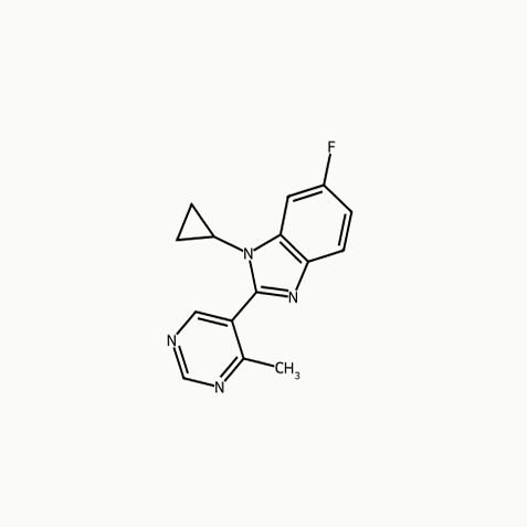 Cc1ncncc1-c1nc2ccc(F)cc2n1C1CC1